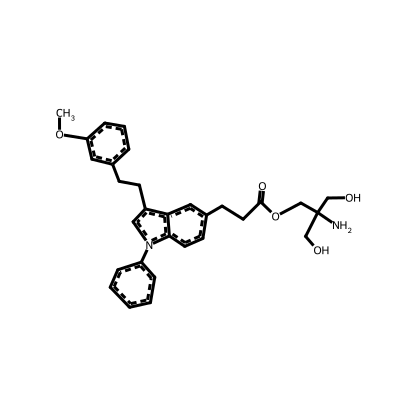 COc1cccc(CCc2cn(-c3ccccc3)c3ccc(CCC(=O)OCC(N)(CO)CO)cc23)c1